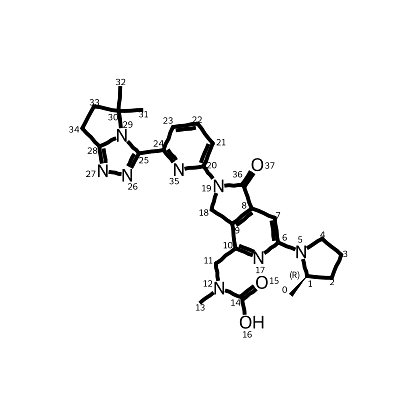 C[C@@H]1CCCN1c1cc2c(c(CN(C)C(=O)O)n1)CN(c1cccc(-c3nnc4n3C(C)(C)CC4)n1)C2=O